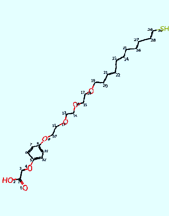 O=C(O)COc1ccc(OCCOCCOCCOCCCCCCCCCCCS)cc1